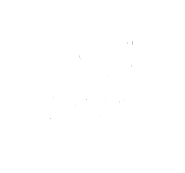 CC(OS(C)(=O)=O)C(OS(C)(=O)=O)C(C)OS(C)(=O)=O